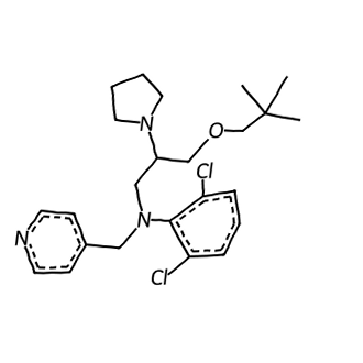 CC(C)(C)COCC(CN(Cc1ccncc1)c1c(Cl)cccc1Cl)N1CCCC1